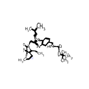 C=CC1=C(/C=C\C)C(F)(F)C(=O)N1Cc1nc2cc(CNC(=O)OC(C)(C)C)ccc2n1CCC(C)C